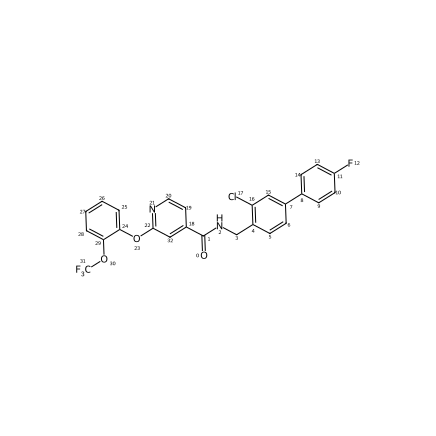 O=C(NCc1ccc(-c2ccc(F)cc2)cc1Cl)c1ccnc(Oc2ccccc2OC(F)(F)F)c1